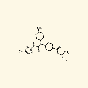 CC(C)CC(=O)N1CCC(N(C(=O)Nc2ncc(Cl)s2)C2CCC(C)CC2)CC1